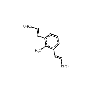 Cc1c(N=CC=O)cccc1N=CC=O